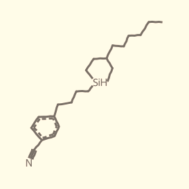 CCCCCCC1CC[SiH](CCCCc2ccc(C#N)cc2)CC1